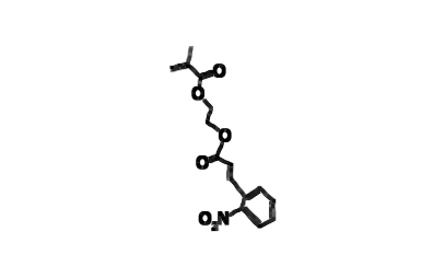 C=C(C)C(=O)OCCOC(=O)/C=C/c1ccccc1[N+](=O)[O-]